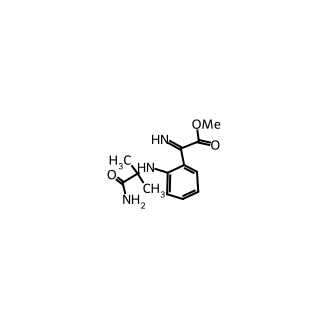 COC(=O)C(=N)c1ccccc1NC(C)(C)C(N)=O